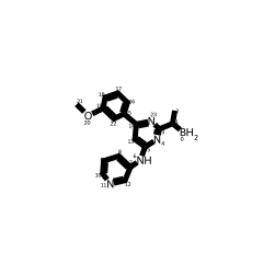 BC(C)c1nc(Nc2cccnc2)cc(-c2cccc(OC)c2)n1